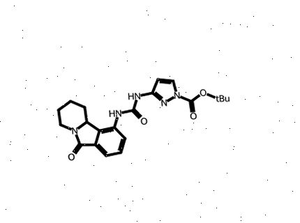 CC(C)(C)OC(=O)n1ccc(NC(=O)Nc2cccc3c2C2CCCCN2C3=O)n1